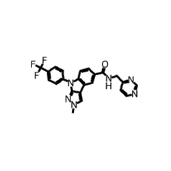 Cn1cc2c3cc(C(=O)NCc4ccncn4)ccc3n(-c3ccc(C(F)(F)F)cc3)c2n1